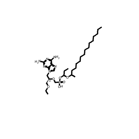 CCCCCCCCCCCCCCC(C)OC(CC)OP(=O)(O)CO[C@@H](COCC)Cn1cnc2c(N)nc(N)nc21